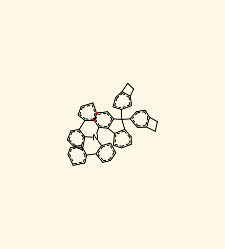 c1ccc(-c2ccccc2N(c2ccccc2-c2ccccc2)c2cccc3c2-c2ccccc2C3(c2ccc3c(c2)CC3)c2ccc3c(c2)CC3)cc1